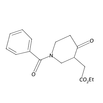 CCOC(=O)CC1CN(C(=O)c2ccccc2)CCC1=O